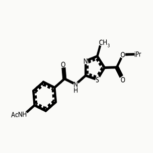 CC(=O)Nc1ccc(C(=O)Nc2nc(C)c(C(=O)OC(C)C)s2)cc1